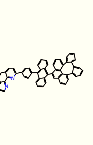 c1cnc2c(c1)ccc1ccc(-c3ccc(-c4c5ccccc5c(-c5cc6cccc7c8ccccc8c8ccccc8c8cccc5c8c67)c5ccccc45)cc3)nc12